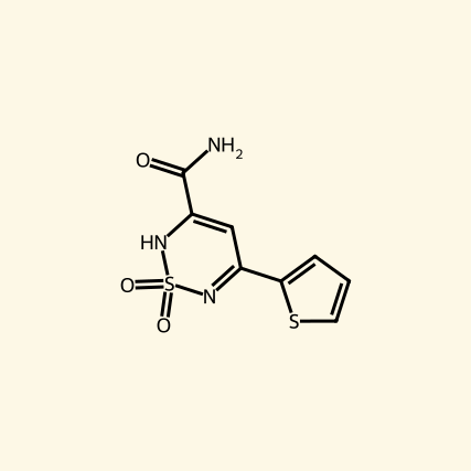 NC(=O)C1=CC(c2cccs2)=NS(=O)(=O)N1